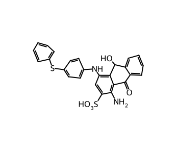 Nc1c(S(=O)(=O)O)cc(Nc2ccc(Sc3ccccc3)cc2)c2c1C(=O)c1ccccc1C2O